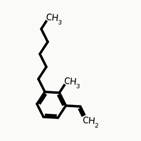 C=Cc1cccc(CCCCCC)c1C